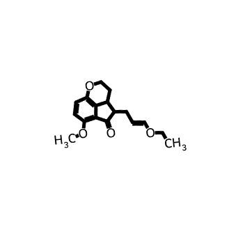 CCOC=CCC1C(=O)c2c(OC)ccc3c2C1CCO3